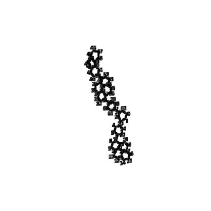 c1cc(-c2ccc(-c3ccc4ccc5cccc6ccc3c4c56)cc2)cc(-c2ccc(-c3ccc4ccc5c(-c6ccc7sc8ccccc8c7c6)ccc6ccc3c4c65)cc2)c1